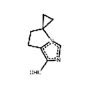 O=Cc1ncn2c1CCC21CC1